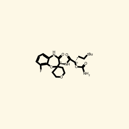 CC(C)(C)CC[C@H](OC(N)=O)C(=O)N[C@@H]1C(=O)Nc2cccc(F)c2OC12CCOCC2